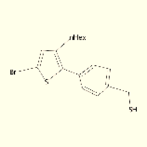 CCCCCCc1cc(Br)sc1-c1ccc(CS)cc1